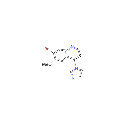 COc1cc2c(-n3ccnc3)ccnc2cc1Br